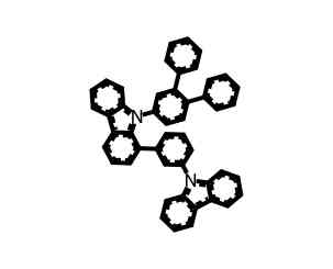 c1ccc(-c2ccc(-n3c4ccccc4c4cccc(-c5cccc(-n6c7ccccc7c7ccccc76)c5)c43)cc2-c2ccccc2)cc1